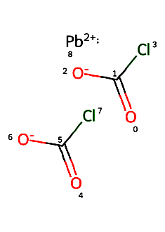 O=C([O-])Cl.O=C([O-])Cl.[Pb+2]